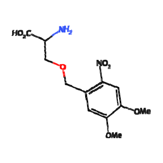 COc1cc(COCC(N)C(=O)O)c([N+](=O)[O-])cc1OC